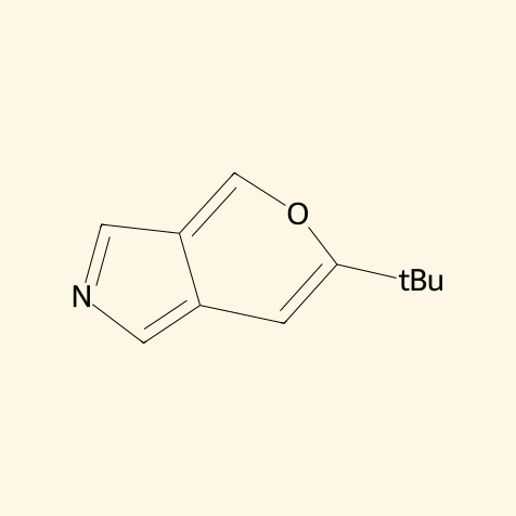 CC(C)(C)c1cc2cncc-2co1